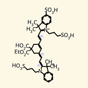 CCOC(=O)C1(C(=O)O)CC(/C=C/C2=[N+](CCCS(=O)(=O)O)c3ccc(S(=O)(=O)O)cc3C2(C)C)=CC(=C/C=C2/N(CCCS(=O)(=O)O)c3ccccc3C2(C)C)/C1